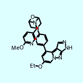 CCOc1cc(-c2ccc(N3CC4OC(C3)N4Cc3ccc(OC)nc3)nc2)c2c3cn[nH]c3nn2c1